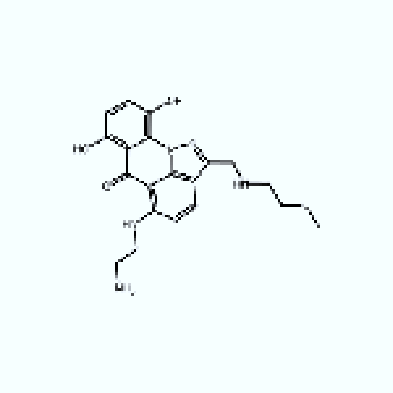 COCCNCc1nn2c3c(O)ccc(O)c3c(=O)c3c(NCCN)ccc1c32